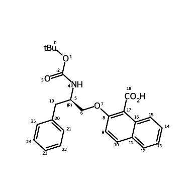 CC(C)(C)OC(=O)N[C@@H](COc1ccc2ccccc2c1C(=O)O)Cc1ccccc1